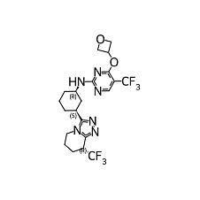 FC(F)(F)c1cnc(N[C@@H]2CCC[C@H](c3nnc4n3CCC[C@H]4C(F)(F)F)C2)nc1OC1COC1